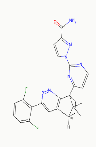 CC1(C)[C@H]2CCC1(c1ccnc(-n3ccc(C(N)=O)n3)n1)c1nnc(-c3c(F)cccc3F)cc12